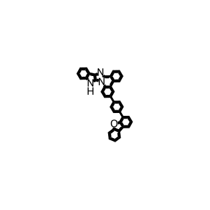 c1ccc2c(c1)[nH]c1c2nc2c3ccccc3c3cc(-c4ccc(-c5cccc6c5oc5ccccc56)cc4)ccc3n21